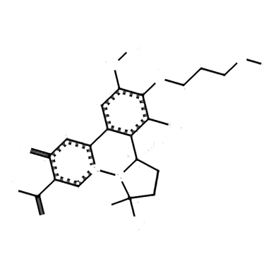 COCCCOc1c(OC)cc2c(c1F)[C@H]1CCC(C)(C)N1n1cc(C(C)=O)c(=O)cc1-2